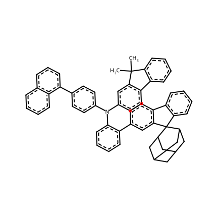 CC1(C)c2ccccc2-c2ccc(N(c3ccc(-c4cccc5ccccc45)cc3)c3ccccc3-c3ccc4c(c3)C3(c5ccccc5-4)C4CC5CC(C4)CC3C5)cc21